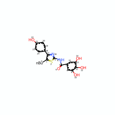 CCCCc1sc(NC(=O)c2cc(O)c(O)c(O)c2)nc1-c1ccc(O)cc1